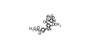 CCN(C(=O)c1cc(COC)c2ncn(-c3ccc(NC(=O)OC)nc3)c2c1)c1ccc(F)c(OC)c1